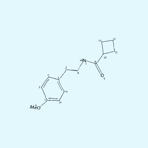 COc1ccc(CCNC(=O)C2CCC2)cc1